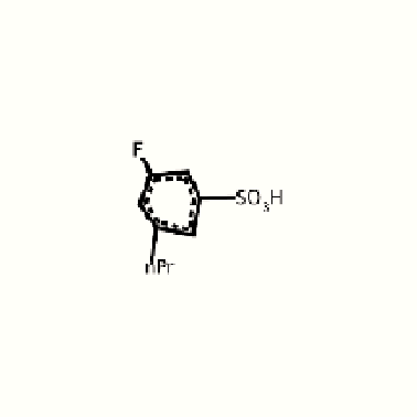 CCCc1cc(F)cc(S(=O)(=O)O)c1